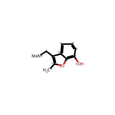 CNCc1c(C)oc2c(O)cccc12